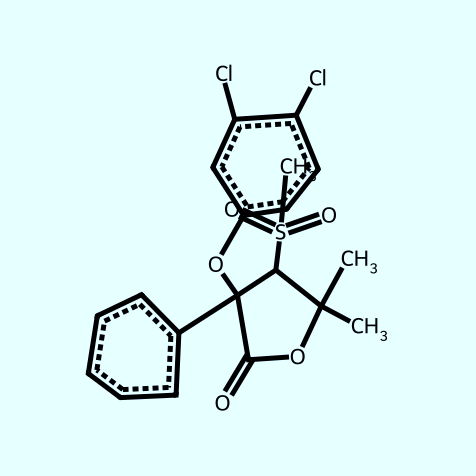 CC1(C)OC(=O)C(Oc2ccc(Cl)c(Cl)c2)(c2ccccc2)C1S(C)(=O)=O